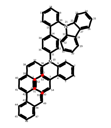 c1ccc(-c2ccccc2N(c2ccc(-c3ccccc3-n3c4ccccc4c4ccccc43)cc2)c2ccc3ccc4c5ccccc5ccc4c3c2)cc1